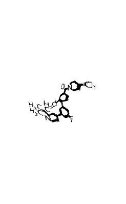 CC(C)(C)c1cc(-c2cc(F)cc(-c3ccc(C(=O)N4CCC(O)CC4)cc3Cl)c2)ccn1